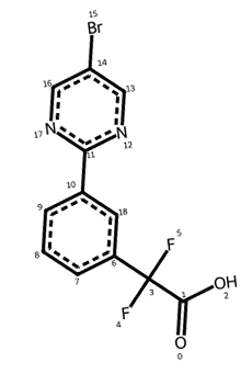 O=C(O)C(F)(F)c1cccc(-c2ncc(Br)cn2)c1